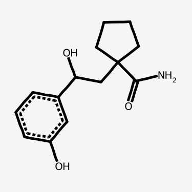 NC(=O)C1(CC(O)c2cccc(O)c2)CCCC1